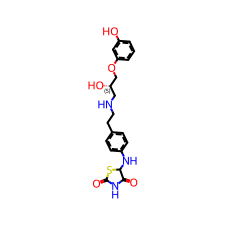 O=C1NC(=O)C(Nc2ccc(CCNC[C@H](O)COc3cccc(O)c3)cc2)S1